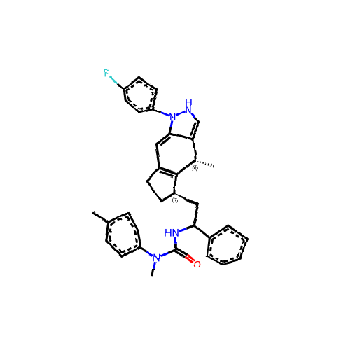 Cc1ccc(N(C)C(=O)NC(C[C@H]2CCC3=C2[C@@H](C)C2=CNN(c4ccc(F)cc4)C2=C3)c2ccccc2)cc1